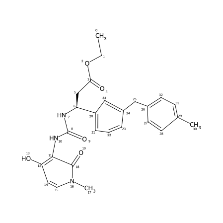 CCOC(=O)C[C@H](NC(=O)Nc1c(O)ccn(C)c1=O)c1cccc(Cc2ccc(C)cc2)c1